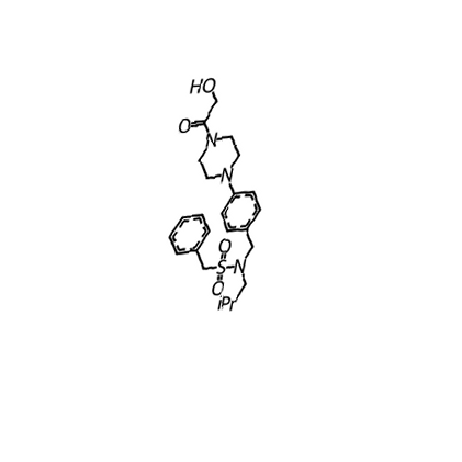 CC(C)CN(Cc1ccc(N2CCN(C(=O)CO)CC2)cc1)S(=O)(=O)Cc1ccccc1